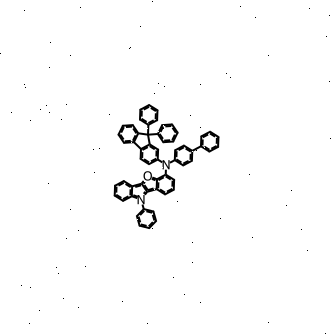 c1ccc(-c2ccc(N(c3ccc4c(c3)C(c3ccccc3)(c3ccccc3)c3ccccc3-4)c3cccc4c3oc3c5ccccc5n(-c5ccccc5)c43)cc2)cc1